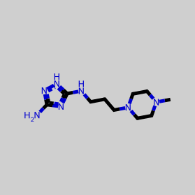 CN1CCN(CCCNc2nc(N)n[nH]2)CC1